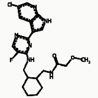 COCC(=O)NCC1CCCCC1CNc1nc(-c2c[nH]c3ncc(Cl)cc23)ncc1F